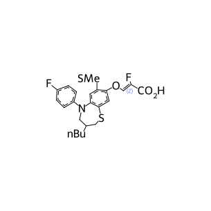 CCCCC1CSc2cc(O/C=C(\F)C(=O)O)c(SC)cc2N(c2ccc(F)cc2)C1